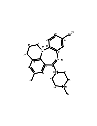 Cc1cc2c3c(c1)C(N1CCN(C)CC1)=Nc1cc(Br)ccc1N3CCC2